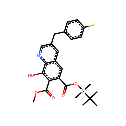 COC(=O)c1c(C(=O)O[Si](C)(C)C(C)(C)C)cc2cc(Cc3ccc(F)cc3)cnc2c1O